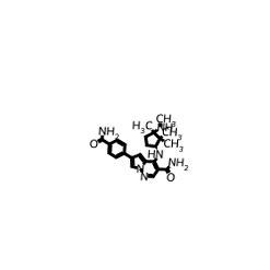 CNC1(C)CC[C@@H](Nc2c(C(N)=O)cnn3cc(-c4ccc(C(N)=O)cc4)cc23)C1(C)C